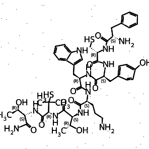 C[C@@H](O)[C@H](NC(=O)[C@@H](NC(=O)[C@@H](NC(=O)[C@H](CCCN)NC(=O)[C@@H](Cc1c[nH]c2ccccc12)NC(=O)[C@H](Cc1ccc(O)cc1)NC(=O)[C@H](CS)NC(=O)[C@@H](N)Cc1ccccc1)[C@@H](C)O)C(C)(C)S)C(N)=O